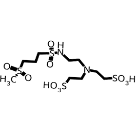 CS(=O)(=O)CCCS(=O)(=O)NCCN(CCS(=O)(=O)O)CCS(=O)(=O)O